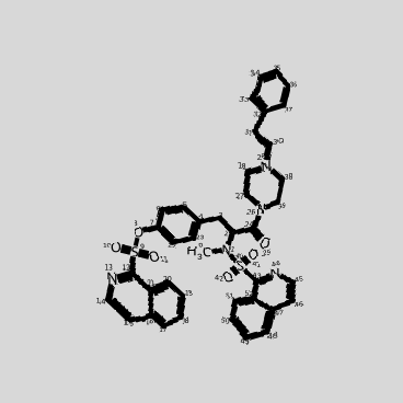 CN(C(Cc1ccc(OS(=O)(=O)c2nccc3ccccc23)cc1)C(=O)N1CCN(CCc2ccccc2)CC1)S(=O)(=O)c1nccc2ccccc12